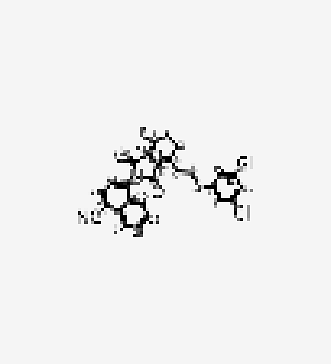 CC12CCC(CCSc3cc(Cl)cc(Cl)c3)(O1)C1C(=O)N(c3ccc(C#N)c4ccccc34)C(=O)C12